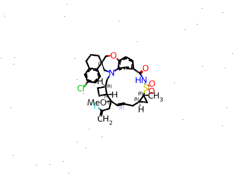 C=C(F)C[C@@]1(OC)/C=C/C[C@@H]2C[C@@]2(C)S(=O)(=O)NC(=O)c2ccc3c(c2)N(C[C@@H]2CC[C@H]21)C[C@@]1(CCCc2cc(Cl)ccc21)CO3